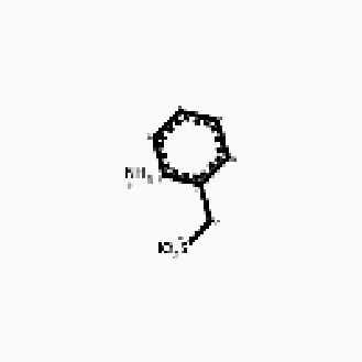 N.O=S(=O)(O)Cc1ccccc1